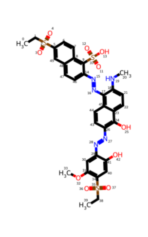 CCS(=O)(=O)c1ccc2c(S(=O)(=O)O)c(/N=N/c3c(NC)ccc4c(O)c(/N=N/c5cc(OC)c(S(=O)(=O)CC)cc5O)ccc34)ccc2c1